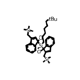 CC(C)(C)CCCCCC[Si](C)(C1(Cl)C=C(C[Si](C)(C)C)c2ccccc21)C1(Cl)C(C[Si](C)(C)C)=Cc2ccccc21